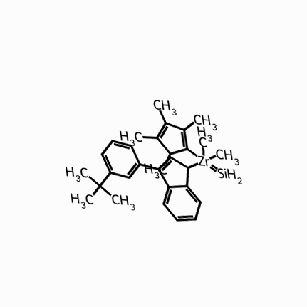 CC1=C(C)C(C)[C]([Zr]([CH3])([CH3])(=[SiH2])[CH]2C=C(c3cccc(C(C)(C)C)c3)c3ccccc32)=C1C